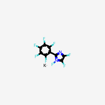 Fc1nc(-c2c(F)c(F)c(F)c(F)c2F)n(F)c1F.[K]